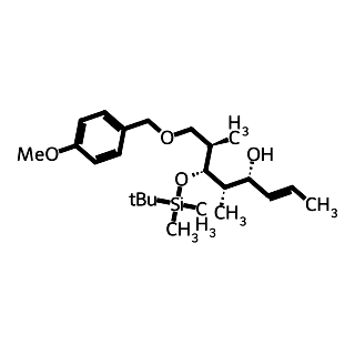 C/C=C/[C@@H](O)[C@H](C)[C@H](O[Si](C)(C)C(C)(C)C)[C@H](C)COCc1ccc(OC)cc1